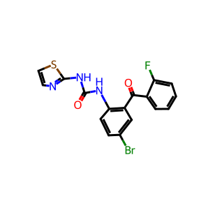 O=C(Nc1nccs1)Nc1ccc(Br)cc1C(=O)c1ccccc1F